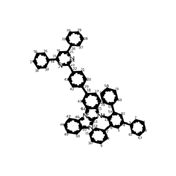 c1ccc(-c2cc(-c3ccccc3)c(-n3c4ccc(-c5ccc(-c6nc(-c7ccccc7)cc(-c7ccccc7)n6)cc5)cc4n4c5ccccc5nc34)c(-c3ccccc3)c2)cc1